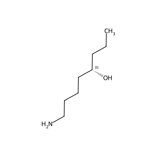 CCC[C@H](O)CCCCN